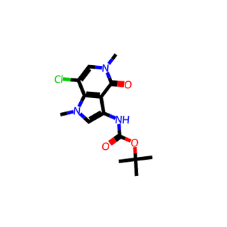 Cn1cc(Cl)c2c(c(NC(=O)OC(C)(C)C)cn2C)c1=O